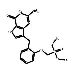 CCOP(=O)(COc1ccccc1Cc1c[nH]c2c(=O)[nH]c(N)nc12)OCC